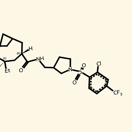 CC[C@H]1CC2CC(C2)C[C@H](C(=O)NCC2CCN(S(=O)(=O)c3ccc(C(F)(F)F)cc3Cl)C2)C1